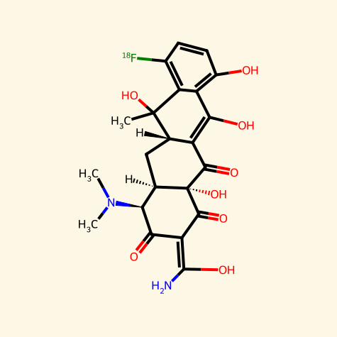 CN(C)[C@@H]1C(=O)/C(=C(\N)O)C(=O)[C@]2(O)C(=O)C3=C(O)c4c(O)ccc([18F])c4C(C)(O)[C@H]3C[C@H]12